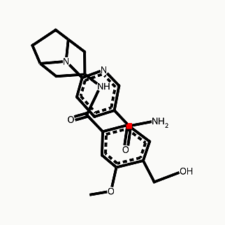 COc1cc(C(=O)NC2CC3CCC(C2)N3c2ccc(C(N)=O)cn2)ccc1CO